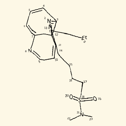 CCC1N=C2C=CC=C3N=CC=CC32N1CCCCS(=O)(=O)N(C)C